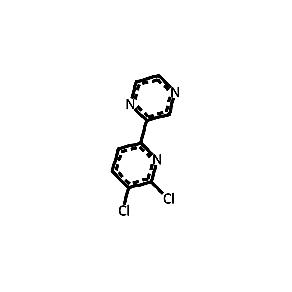 Clc1ccc(-c2cnccn2)nc1Cl